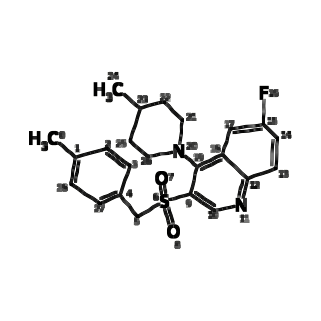 Cc1ccc(CS(=O)(=O)c2cnc3ccc(F)cc3c2N2CCC(C)CC2)cc1